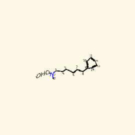 CN([C]=O)CCCCCCc1ccccc1